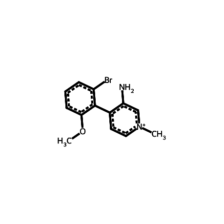 COc1cccc(Br)c1-c1cc[n+](C)cc1N